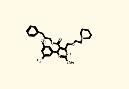 CSC1=NC(c2cc(C(F)(F)F)cc(C(F)(F)F)c2)C(C(=O)OCCCc2ccccc2)=C(COCCN2CCCCC2)N1